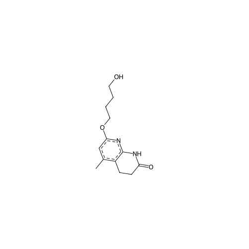 Cc1cc(OCCCCO)nc2c1CCC(=O)N2